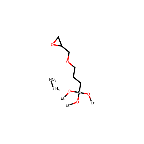 CCO[Si](CCCOCC1CO1)(OCC)OCC.O=[N+]([O-])[SiH3]